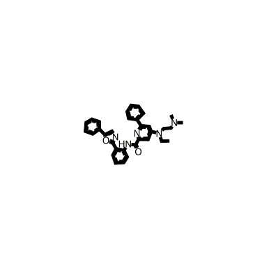 CCN(CCN(C)C)c1cc(C(=O)Nc2ccccc2-c2ncc(-c3ccccc3)o2)nc(-c2ccccc2)c1